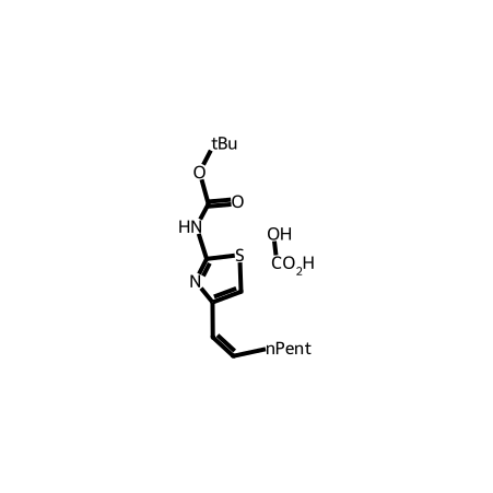 CCCCC/C=C\c1csc(NC(=O)OC(C)(C)C)n1.O=C(O)O